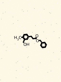 Cc1ccc(CCC(=O)OCc2ccccc2)cc1CO